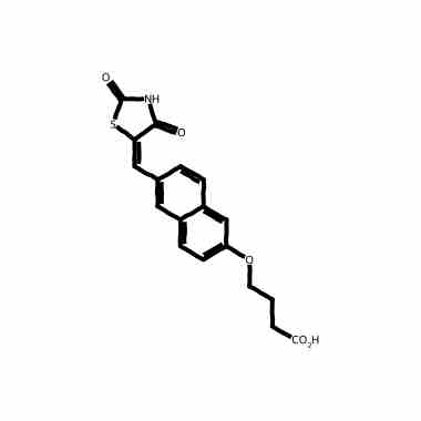 O=C(O)CCCOc1ccc2cc(C=C3SC(=O)NC3=O)ccc2c1